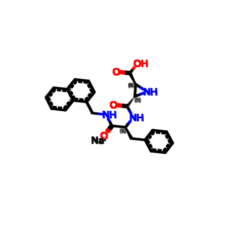 O=C(NCc1cccc2ccccc12)[C@H](Cc1ccccc1)NC(=O)[C@H]1N[C@@H]1C(=O)O.[Na]